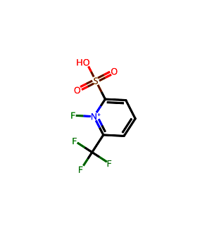 O=S(=O)(O)c1cccc(C(F)(F)F)[n+]1F